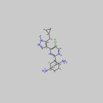 Cn1ncc(-c2nc(C3CC4(N)CCC3(N)CC4)ncc2Cl)c1CC1CC1